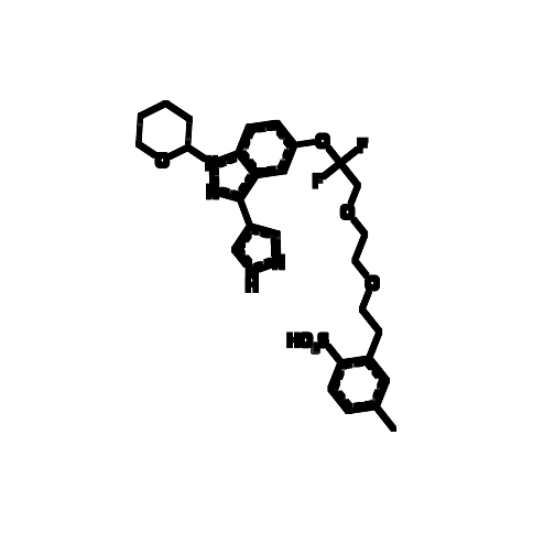 Cc1ccc(S(=O)(=O)O)c(CCOCCOCC(F)(F)Oc2ccc3c(c2)c(-c2cn[nH]c2)nn3C2CCCCO2)c1